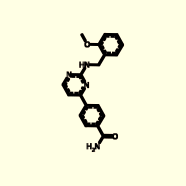 COc1ccccc1CNc1nccc(-c2ccc(C(N)=O)cc2)n1